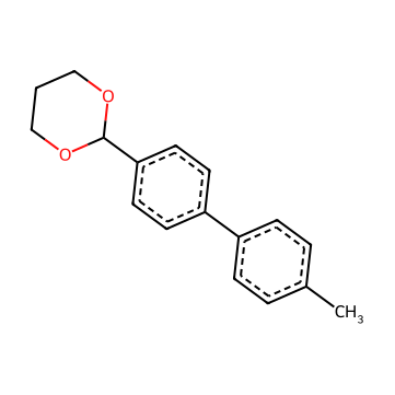 Cc1ccc(-c2ccc(C3OCCCO3)cc2)cc1